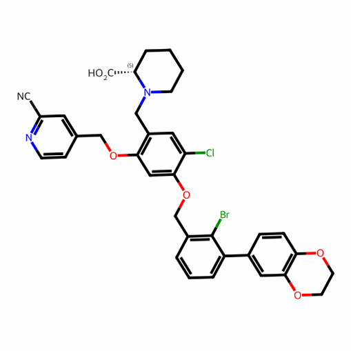 N#Cc1cc(COc2cc(OCc3cccc(-c4ccc5c(c4)OCCO5)c3Br)c(Cl)cc2CN2CCCC[C@H]2C(=O)O)ccn1